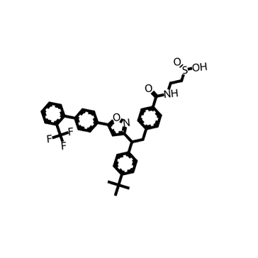 CC(C)(C)c1ccc(C(Cc2ccc(C(=O)NCCS(=O)O)cc2)c2cc(-c3ccc(-c4ccccc4C(F)(F)F)cc3)on2)cc1